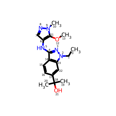 CCn1nc(Nc2cnn(C)c2OC)c2ccc(C(C)(C)O)cc21